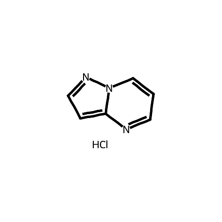 Cl.c1cnc2ccnn2c1